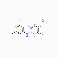 CCc1nc(Nc2cc(C)cc(C)c2)ncc1CN